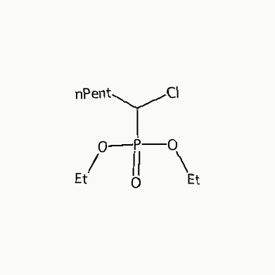 CCCCCC(Cl)P(=O)(OCC)OCC